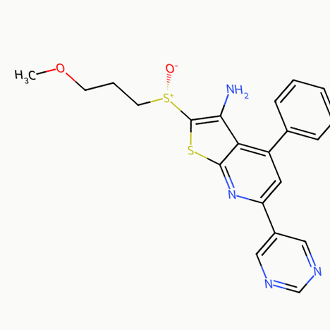 COCCC[S@+]([O-])c1sc2nc(-c3cncnc3)cc(-c3ccccc3)c2c1N